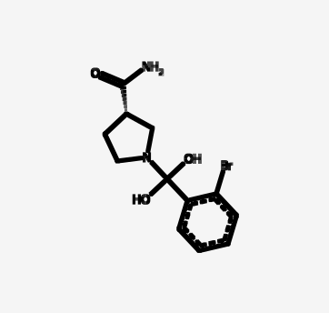 NC(=O)[C@H]1CCN(C(O)(O)c2ccccc2Br)C1